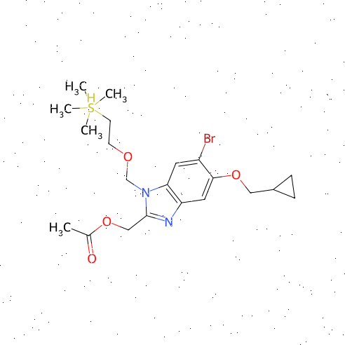 CC(=O)OCc1nc2cc(OCC3CC3)c(Br)cc2n1COCC[SH](C)(C)(C)C